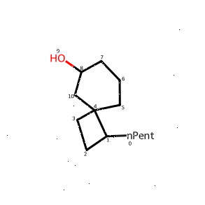 CCCCCC1CCC12CCCC(O)C2